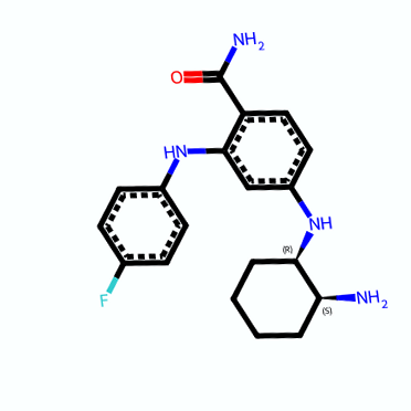 NC(=O)c1ccc(N[C@@H]2CCCC[C@@H]2N)cc1Nc1ccc(F)cc1